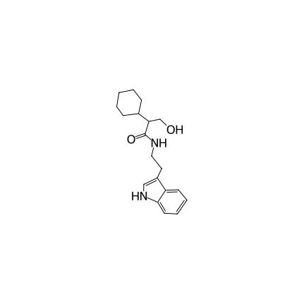 O=C(NCCc1c[nH]c2ccccc12)C(CO)C1CCCCC1